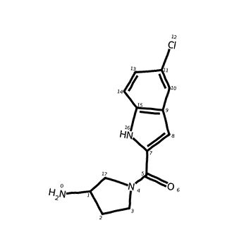 NC1CCN(C(=O)c2cc3cc(Cl)ccc3[nH]2)C1